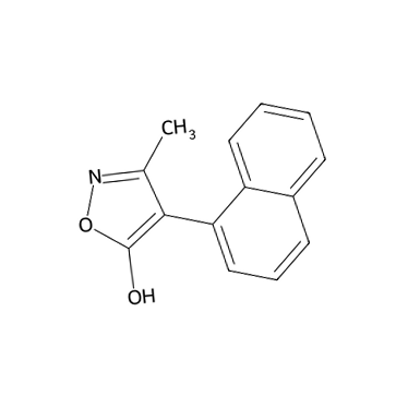 Cc1noc(O)c1-c1cccc2ccccc12